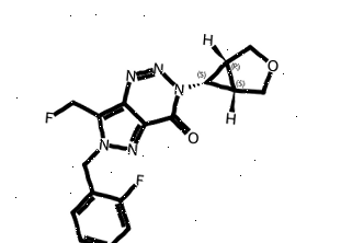 O=c1c2nn(Cc3ccccc3F)c(CF)c2nnn1[C@@H]1[C@@H]2COC[C@@H]21